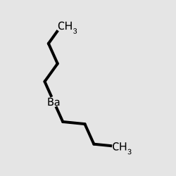 CCC[CH2][Ba][CH2]CCC